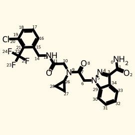 NC(=O)c1nn(CC(=O)N(CC(=O)NCc2cccc(Cl)c2C(F)(F)F)C2CC2)c2ccccc12